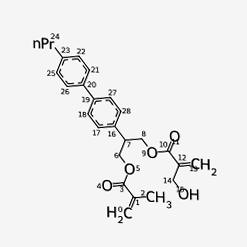 C=C(C)C(=O)OCC(COC(=O)C(=C)CO)c1ccc(-c2ccc(CCC)cc2)cc1